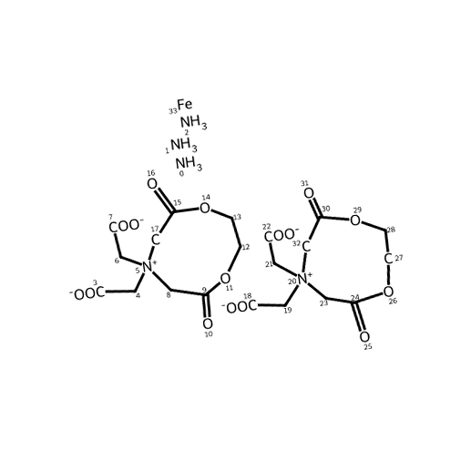 N.N.N.O=C([O-])C[N+]1(CC(=O)[O-])CC(=O)OCCOC(=O)C1.O=C([O-])C[N+]1(CC(=O)[O-])CC(=O)OCCOC(=O)C1.[Fe]